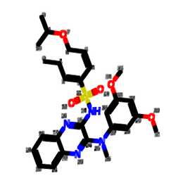 CC/C=C(\C=C/COC(C)C)S(=O)(=O)Nc1nc2ccccc2nc1N(C)c1cc(OC)cc(OC)c1